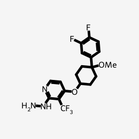 COC1(c2ccc(F)c(F)c2)CCC(Oc2ccnc(NN)c2C(F)(F)F)CC1